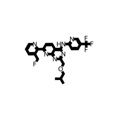 CC(C)COCc1nc(Nc2ccc(C(F)(F)F)cn2)c2ccc(-c3ncccc3CF)nc2n1